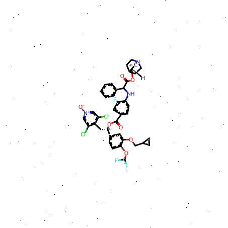 O=C(O[C@@H](Cc1c(Cl)c[n+]([O-])cc1Cl)c1ccc(OC(F)F)c(OCC2CC2)c1)c1ccc(NC(C(=O)O[C@H]2CN3CCC2CC3)c2ccccc2)c(F)c1